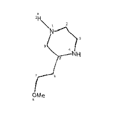 [2H]N1CCNC(CCOC)C1